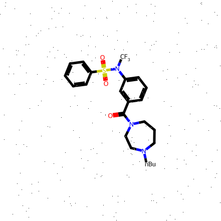 CCCCN1CCCN(C(=O)c2cccc(N(C(F)(F)F)S(=O)(=O)c3ccccc3)c2)CC1